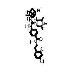 CC1CN(C(=N[C@H]2C[C@@H]3C[C@@H]([C@H]2C)C3(C)C)Nc2ccc(C(=O)NCCc3ccc(Cl)cc3Cl)cc2)CC(C)N1C